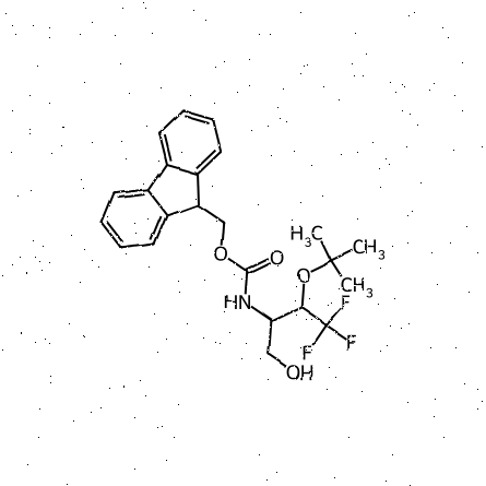 CC(C)(C)OC(C(CO)NC(=O)OCC1c2ccccc2-c2ccccc21)C(F)(F)F